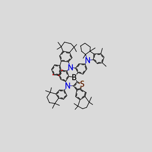 Cc1cc2c3c(c1)N(c1ccc4c(c1)C(C)(C)CCC4(C)C)c1c(sc4cc5c(cc14)C(C)(C)CCC5(C)C)B3c1ccc(N3c4cc(C)cc(C)c4C4(C)CCCCC34C)cc1N2c1cc2c(cc1-c1ccccc1)C(C)(C)CCC2(C)C